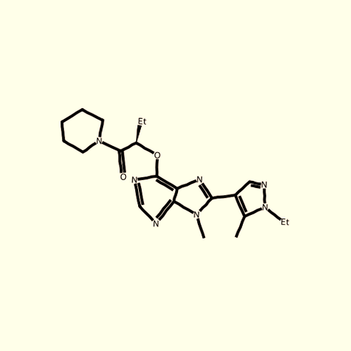 CC[C@@H](Oc1ncnc2c1nc(-c1cnn(CC)c1C)n2C)C(=O)N1CCCCC1